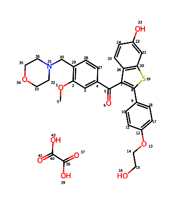 COc1cc(C(=O)c2c(-c3ccc(OCCO)cc3)sc3cc(O)ccc23)ccc1CN1CCOCC1.O=C(O)C(=O)O